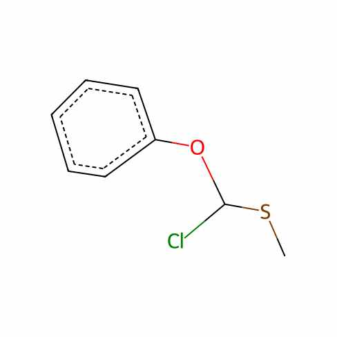 CSC(Cl)Oc1ccccc1